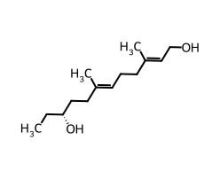 CC[C@@H](O)CC/C(C)=C/CC/C(C)=C/CO